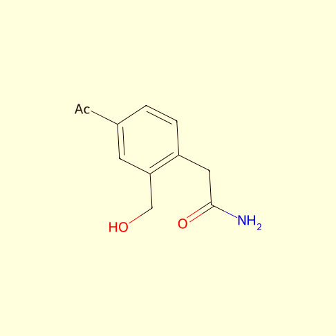 CC(=O)c1ccc(CC(N)=O)c(CO)c1